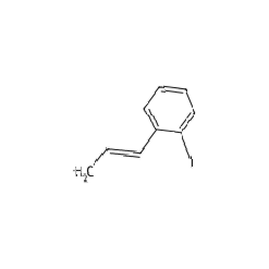 [CH2]/C=C/c1ccccc1I